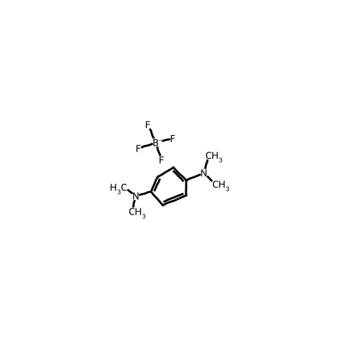 CN(C)c1ccc(N(C)C)cc1.F[B-](F)(F)F